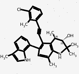 Cc1cc(-c2cccc3c(C)c[nH]c23)c(C#Cc2cccc(Cl)c2C)c2c1NC(C)(C)[C@@H](O)[C@@H]2C